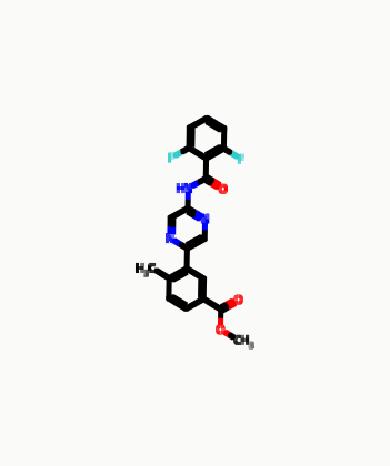 COC(=O)c1ccc(C)c(-c2cnc(NC(=O)c3c(F)cccc3F)cn2)c1